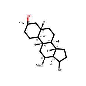 CO[C@H]1C[C@H]2[C@@H](CC[C@H]3C[C@](C)(O)CC[C@@]32C)[C@@H]2CCC(C(C)=O)[C@@]12C